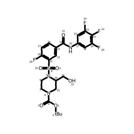 CC(C)(C)OC(=O)N1CCN(S(=O)(=O)c2cc(C(=O)Nc3cc(F)c(F)c(F)c3)ccc2F)C(CO)C1